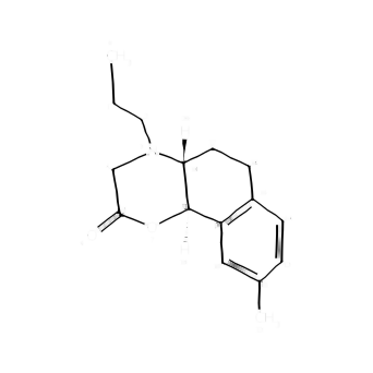 CCCN1CC(=O)O[C@@H]2c3cc(C)ccc3CC[C@H]21